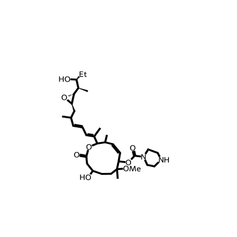 CC[C@H](O)[C@@H](C)[C@H]1O[C@@H]1CC(C)/C=C/C=C(\C)C1OC(=O)CC(O)CCC(C)(OC)C(OC(=O)N2CCNCC2)C=CC1C